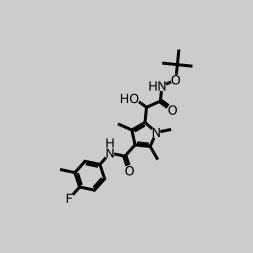 Cc1cc(NC(=O)c2c(C)c(C(O)C(=O)NOC(C)(C)C)n(C)c2C)ccc1F